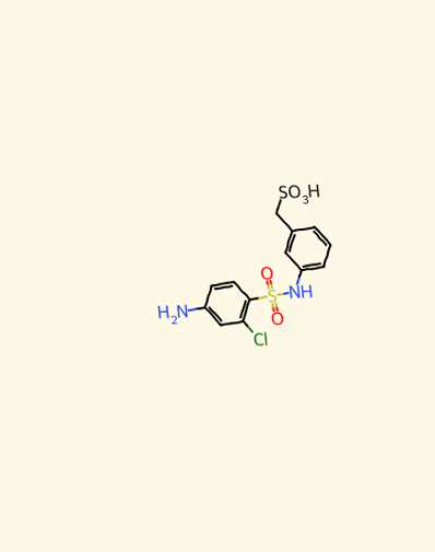 Nc1ccc(S(=O)(=O)Nc2cccc(CS(=O)(=O)O)c2)c(Cl)c1